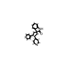 O=C1Nc2ccccc2C1(CCc1ccncc1)CCc1ccncc1